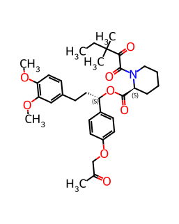 CCC(C)(C)C(=O)C(=O)N1CCCC[C@H]1C(=O)O[C@@H](CCc1ccc(OC)c(OC)c1)c1ccc(OCC(C)=O)cc1